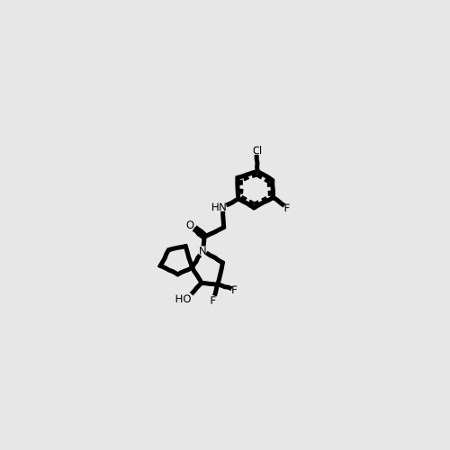 O=C(CNc1cc(F)cc(Cl)c1)N1CC(F)(F)C(O)C12CCCC2